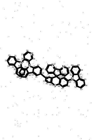 c1cnc2c(c1)C1(c3cc(-c4ccc5c(c4)c4ccccc4n5-c4cnccc4-n4c5ccccc5c5ccccc54)ccc3Sc3ccc(-n4c5ccccc5c5ccccc54)cc31)c1cccnc1-2